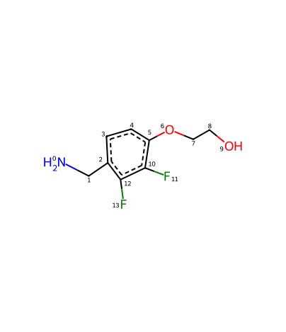 NCc1ccc(OCCO)c(F)c1F